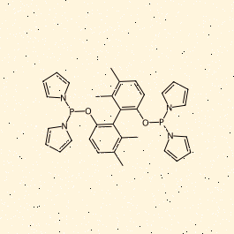 Cc1ccc(OP(n2cccc2)n2cccc2)c(-c2c(OP(n3cccc3)n3cccc3)ccc(C)c2C)c1C